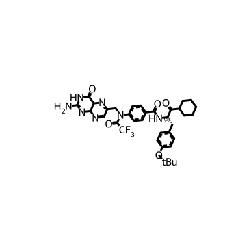 CC(C)(C)Oc1ccc(C[C@H](NC(=O)c2ccc(N(CC3=NC4C(=O)NC(N)=NC4N=C3)C(=O)C(F)(F)F)cc2)C(=O)C2CCCCC2)cc1